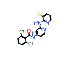 O=C(Nc1ccnc(Nc2ncccc2F)c1)c1c(Cl)cccc1Cl